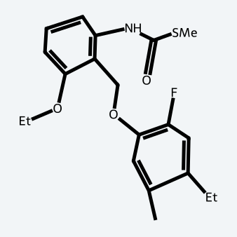 CCOc1cccc(NC(=O)SC)c1COc1cc(C)c(CC)cc1F